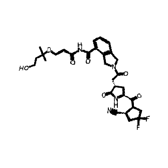 CC(C)(CCO)OCCC(=O)NC(=O)c1cccc2c1CN(C(=O)C[C@@H]1C[C@@H](C(=O)C3CC(F)(F)C[C@H]3C#N)NC1=O)C2